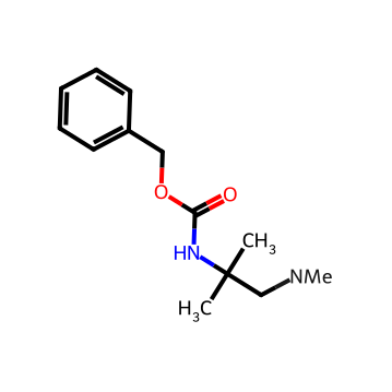 CNCC(C)(C)NC(=O)OCc1ccccc1